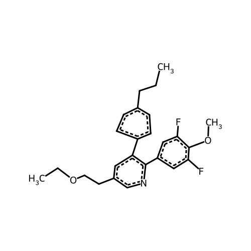 CCCc1ccc(-c2cc(CCOCC)cnc2-c2cc(F)c(OC)c(F)c2)cc1